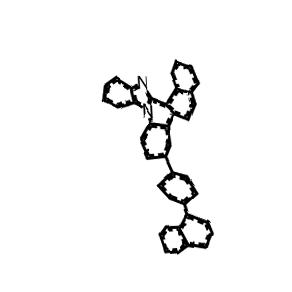 c1ccc2c(-c3ccc(-c4ccc5c(c4)c4ccc6ccccc6c4c4nc6ccccc6n54)cc3)cccc2c1